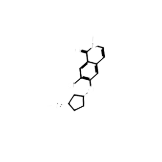 N[C@H]1CC[C@H](Oc2cc3cc[nH]c(=O)c3cc2Cl)C1